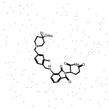 CCC1(OC)CCN(Cc2ccc(CNc3cccc4c3C(=O)N(C3CCC(=O)NC3=O)C4=O)c(F)c2)CC1